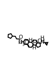 C[C@]12CCC(OC(=O)CCC3CCCC3)CC1=CC[C@@H]1[C@H]2CC[C@]2(C)C(NC3CC3)CC[C@@H]12